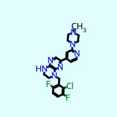 CN1CCN(c2cc(-c3cnc4c(n3)N(Cc3c(F)ccc(F)c3Cl)CCN4)ccn2)CC1